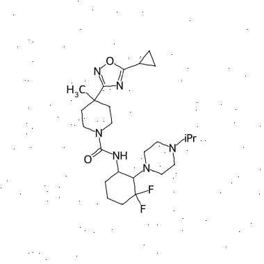 CC(C)N1CCN(C2C(NC(=O)N3CCC(C)(c4noc(C5CC5)n4)CC3)CCCC2(F)F)CC1